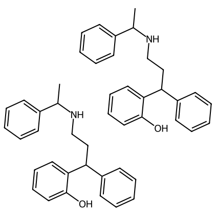 CC(NCCC(c1ccccc1)c1ccccc1O)c1ccccc1.CC(NCCC(c1ccccc1)c1ccccc1O)c1ccccc1